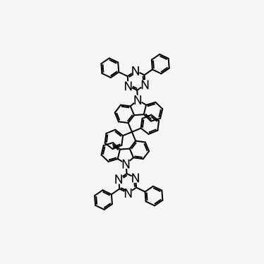 c1ccc(-c2nc(-c3ccccc3)nc(-n3c4ccccc4c4c(C(c5ccccc5)(c5ccccc5)c5cccc6c5c5ccccc5n6-c5nc(-c6ccccc6)nc(-c6ccccc6)n5)cccc43)n2)cc1